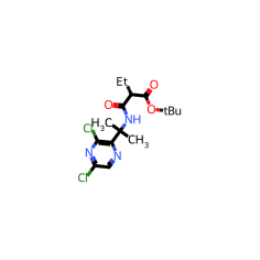 CCC(C(=O)NC(C)(C)c1ncc(Cl)nc1Cl)C(=O)OC(C)(C)C